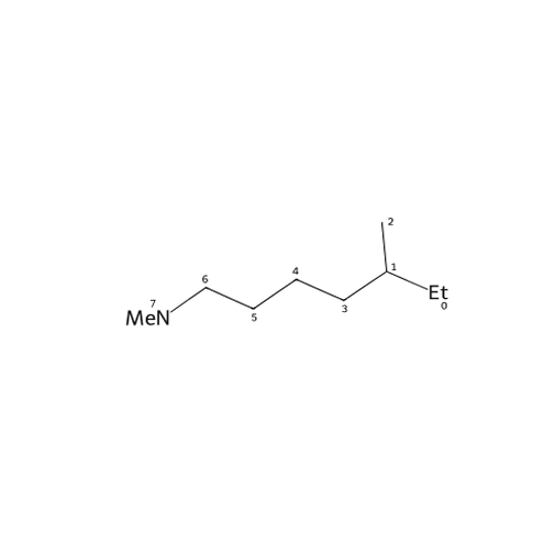 CCC(C)CCCCNC